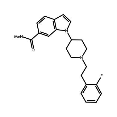 CNC(=O)c1ccc2ccn(C3CCN(CCc4ccccc4F)CC3)c2c1